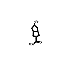 CCCC1CC2CN(C(=O)C(C)(C)C)CC2C1